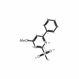 COc1cc(-c2ccccc2)nc(S(C)(=O)=O)n1